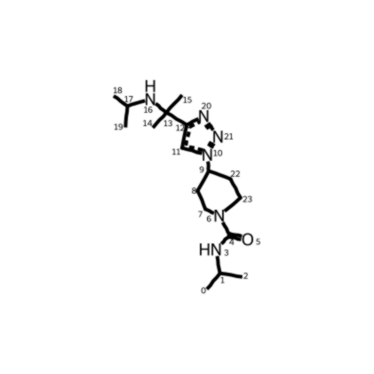 CC(C)NC(=O)N1CCC(n2cc(C(C)(C)NC(C)C)nn2)CC1